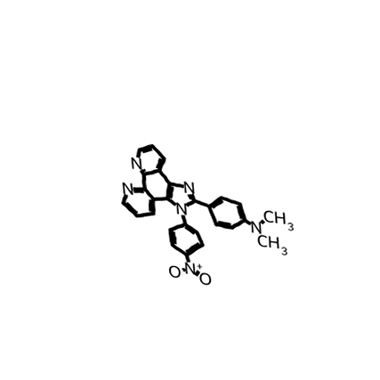 CN(C)c1ccc(-c2nc3c4cccnc4c4ncccc4c3n2-c2ccc([N+](=O)[O-])cc2)cc1